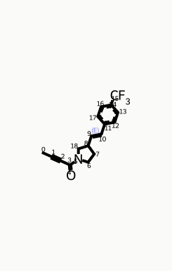 CC#CC(=O)N1CCC(/C=C/c2ccc(C(F)(F)F)cc2)C1